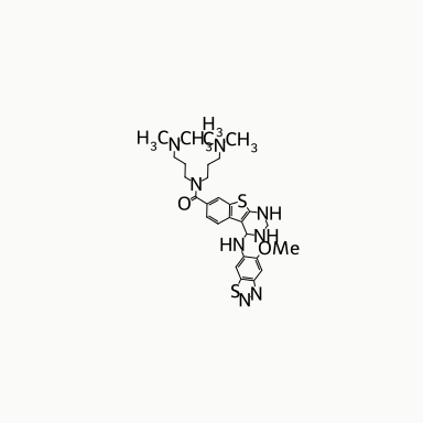 COc1cc2nnsc2cc1NC1NCNc2sc3cc(C(=O)N(CCCN(C)C)CCCN(C)C)ccc3c21